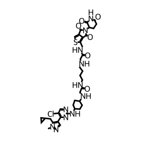 Cn1ncc(-c2nc(NC3CCC(NCC(=O)NCCCCNCC(=O)NCc4scc5c4C(=O)N(C4CCC(=O)NC4=O)C5=O)CC3)ncc2Cl)c1CC1CC1